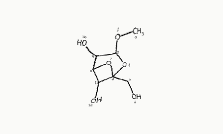 COC1OC2(CO)OC(C1O)C2O